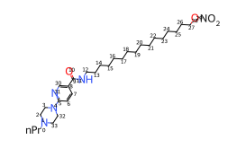 CCCN1CCN(c2ccc(C(=O)NCCCCCCCCCCCCCCCCO[N+](=O)[O-])cn2)CC1